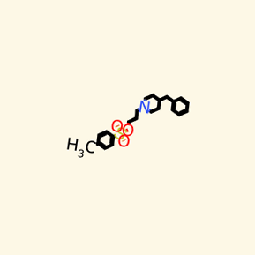 Cc1ccc(S(=O)(=O)OCCCN2CCC(Cc3ccccc3)CC2)cc1